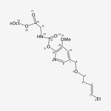 CCC=CCCOCc1cnc(OC(=O)NCC(=O)OCCCCCCCC)c(OC)c1